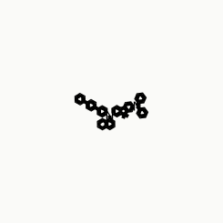 CC1(C)c2cc(N(c3ccccc3)c3ccccc3)ccc2-c2ccc(N(c3ccc(-c4ccc(-c5ccccc5)cc4)cc3)c3cccc4c3C=CCC4)cc21